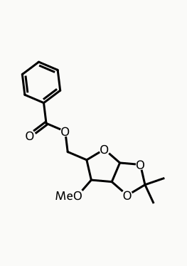 COC1C(COC(=O)c2ccccc2)OC2OC(C)(C)OC21